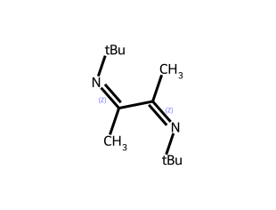 CC(=N/C(C)(C)C)/C(C)=N\C(C)(C)C